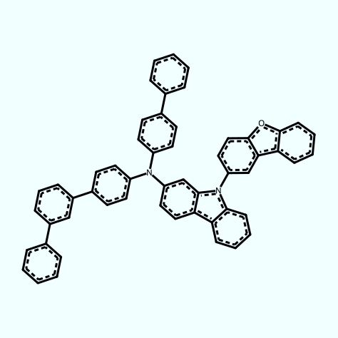 c1ccc(-c2ccc(N(c3ccc(-c4cccc(-c5ccccc5)c4)cc3)c3ccc4c5ccccc5n(-c5ccc6oc7ccccc7c6c5)c4c3)cc2)cc1